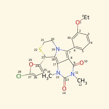 CCOc1cccc(-c2c3c(=O)n(C)c(=O)n(C)c3c3n2CCS[C@H]3c2ccc(Cl)o2)c1